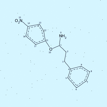 NC(CCc1cc[c]cc1)Oc1ccc([N+](=O)[O-])cc1